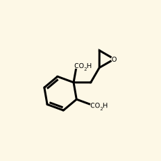 O=C(O)C1C=CC=CC1(CC1CO1)C(=O)O